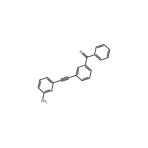 Cc1cccc(C#Cc2cccc(C(=O)c3ccccc3)c2)n1